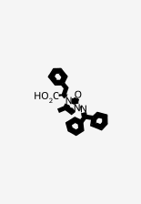 Cc1cn(N=C(c2ccccc2)c2ccccc2)c(=O)n1[C@H](Cc1ccccc1)C(=O)O